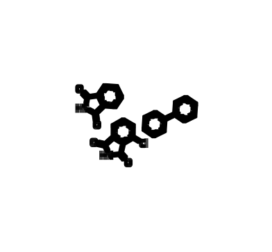 O=C1NC(=O)c2c(Cl)cccc21.O=C1NC(=O)c2ccccc21.c1ccc(-c2ccccc2)cc1